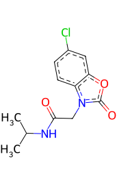 CC(C)NC(=O)Cn1c(=O)oc2cc(Cl)ccc21